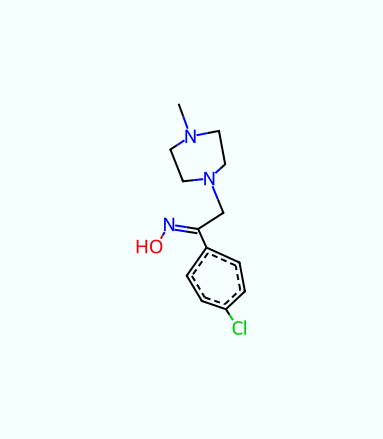 CN1CCN(CC(=NO)c2ccc(Cl)cc2)CC1